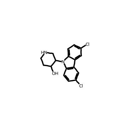 OC1CCNCC1n1c2ccc(Cl)cc2c2cc(Cl)ccc21